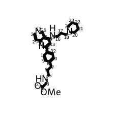 COC(=O)CNCCCc1ccc(-c2cc(NCCCN3CCCCC3)c3cnccc3n2)cc1